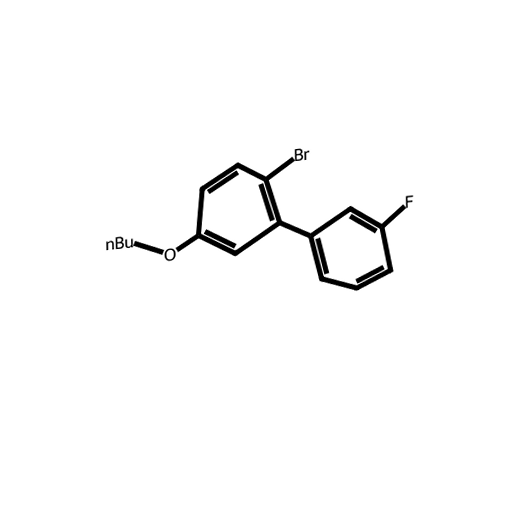 CCCCOc1ccc(Br)c(-c2cccc(F)c2)c1